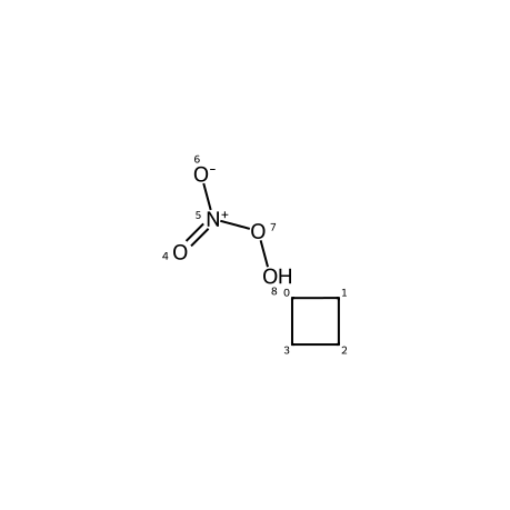 C1CCC1.O=[N+]([O-])OO